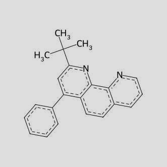 CC(C)(C)c1cc(-c2ccccc2)c2ccc3cccnc3c2n1